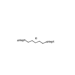 CCCCCCCCCCCCCCCCCCC.[K]